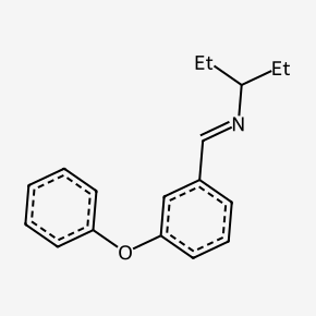 CCC(CC)N=Cc1cccc(Oc2ccccc2)c1